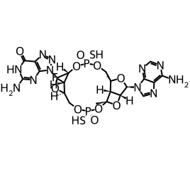 C[C@@]12O[C@H]3[C@H](n4cnc5c(N)ncnc54)O[C@](C)(COP(=O)(S)O[C@@H]4[C@@H](F)[C@@H](COP(=O)(S)O1)O[C@H]4n1nnc4c(=O)[nH]c(N)nc41)[C@H]32